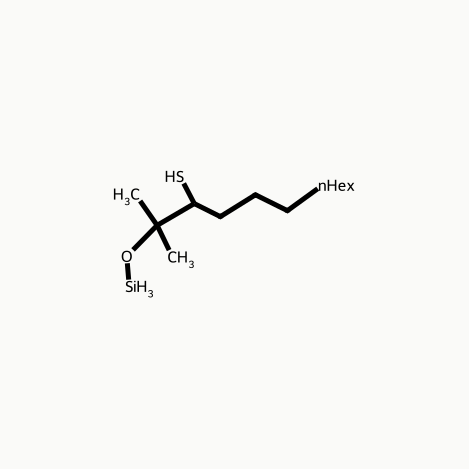 CCCCCCCCCC(S)C(C)(C)O[SiH3]